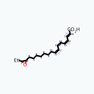 CCC1OC1CCCCCCC\C=C/C=C\C=C/C=C/C(=O)O